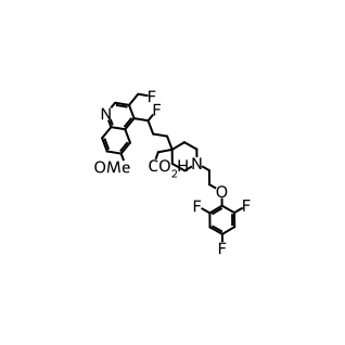 COc1ccc2ncc(CF)c(C(F)CCC3(CC(=O)O)CCN(CCOc4c(F)cc(F)cc4F)CC3)c2c1